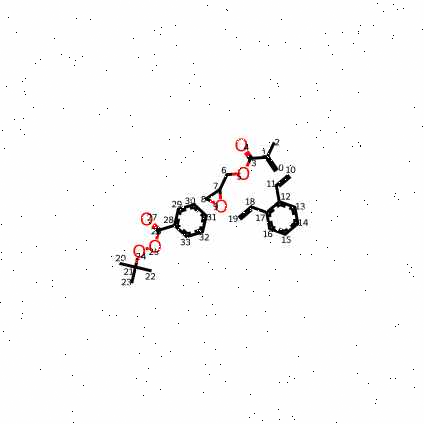 C=C(C)C(=O)OCC1CO1.C=Cc1ccccc1C=C.CC(C)(C)OOC(=O)c1ccccc1